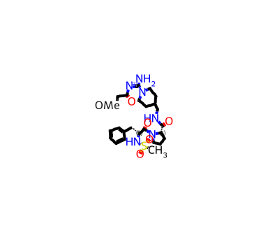 COCC(=O)/N=C(/N)N1CCC(CNC(=O)[C@@H]2CCCN2C(=O)[C@@H](Cc2ccccc2)NS(C)(=O)=O)CC1